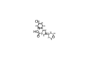 O=C(O)C1CN(C2CCOCC2)C[C@H]1c1ccc(Cl)cn1